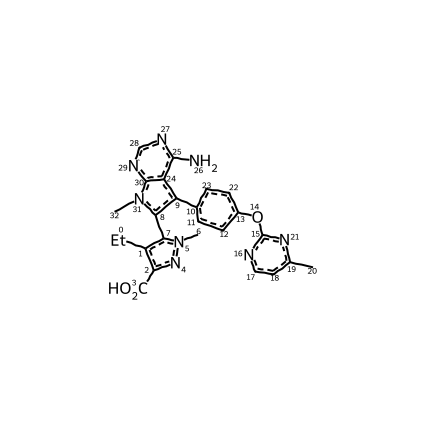 CCc1c(C(=O)O)nn(C)c1-c1c(-c2ccc(Oc3nccc(C)n3)cc2)c2c(N)ncnc2n1C